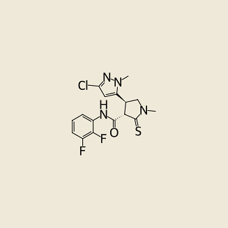 CN1C[C@H](c2cc(Cl)nn2C)[C@@H](C(=O)Nc2cccc(F)c2F)C1=S